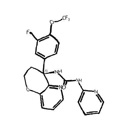 O=C(Nc1ccccn1)N[C@]1(c2ccc(OC(F)(F)F)c(F)c2)CCOc2cccnc21